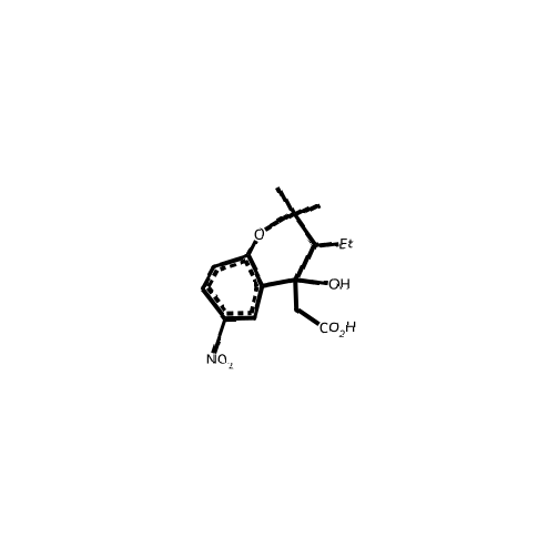 CCC1C(C)(C)Oc2ccc([N+](=O)[O-])cc2C1(O)CC(=O)O